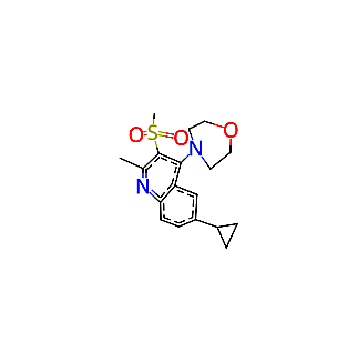 Cc1nc2ccc(C3CC3)cc2c(N2CCOCC2)c1S(C)(=O)=O